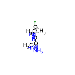 C=C1NC(N)=Nc2ccc(-c3ccc(NCC(C)(C)c4ccc(F)cc4)nn3)cc21